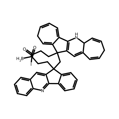 BC(=O)CCC1(CC2(CCC(=O)I)C3=CCC=CC=C3C3=C2C=C2C=CCC=CC2N3)c2ccccc2-c2nc3ccccc3cc21